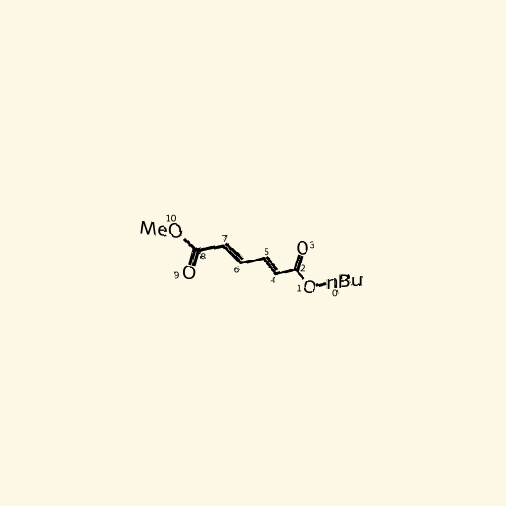 CCCCOC(=O)C=CC=CC(=O)OC